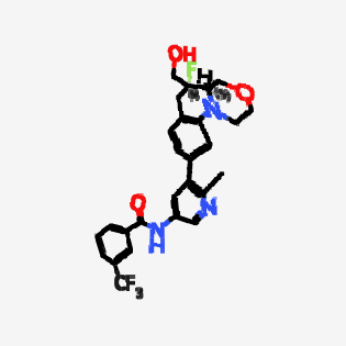 Cc1ncc(NC(=O)c2cccc(C(F)(F)F)c2)cc1-c1ccc2c(c1)N1CCOC[C@H]1[C@](F)(CO)C2